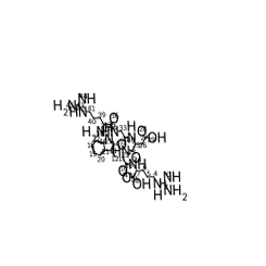 N=C(N)NCCC[C@H](NC(=O)[C@H](Cc1c[nH]c2ccccc12)NC(=O)[C@H](CC(=O)O)NC(=O)CNC(=O)[C@@H](N)CCCNC(=N)N)C(=O)O